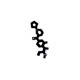 C=C/C(OC)=C(/C)c1ccc(C(=O)C2CCCN(C3CCCC3)C2)cc1C